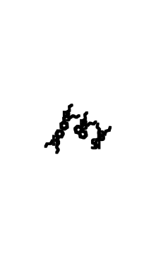 CCCCB(/C=C/[Si](C)(C)C)CCCC.CCCCB(CCCC)Cc1ccccc1.CCCCB(CCCC)c1cccc2ccccc12.CCCCB(CCCC)c1ccccc1